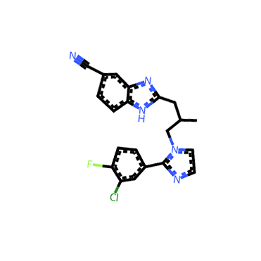 CC(Cc1nc2cc(C#N)ccc2[nH]1)Cn1ccnc1-c1ccc(F)c(Cl)c1